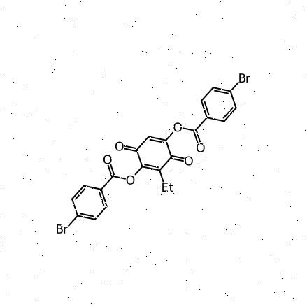 CCC1=C(OC(=O)c2ccc(Br)cc2)C(=O)C=C(OC(=O)c2ccc(Br)cc2)C1=O